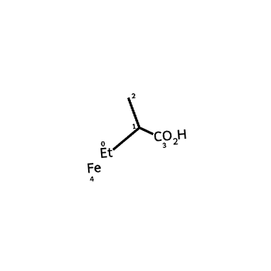 CCC(C)C(=O)O.[Fe]